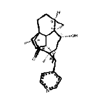 CO[C@@H]1CCC23CC[C@H]4C[C@@]4(C12)[C@H](O)C[C@@](C)(Cc1ccncc1)C(=O)[C@@H]3C